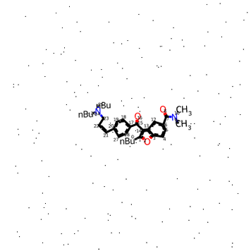 CCCCc1oc2ccc(C(=O)N(C)C)cc2c1C(=O)c1ccc(/C=C\CN(CCCC)CCCC)cc1